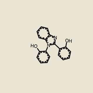 Oc1ccccc1-c1nc2ccccc2n1-c1ccccc1O